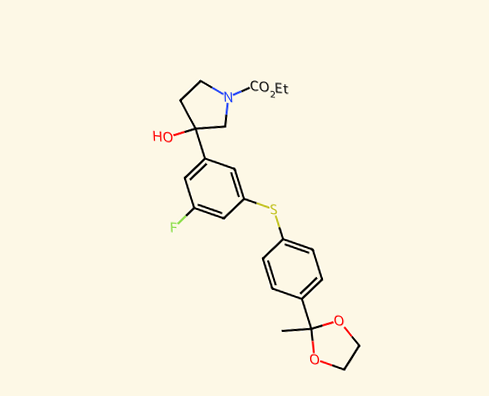 CCOC(=O)N1CCC(O)(c2cc(F)cc(Sc3ccc(C4(C)OCCO4)cc3)c2)C1